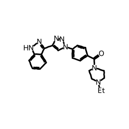 CCN1CCN(C(=O)c2ccc(-n3cc(-c4n[nH]c5ccccc45)nn3)cc2)CC1